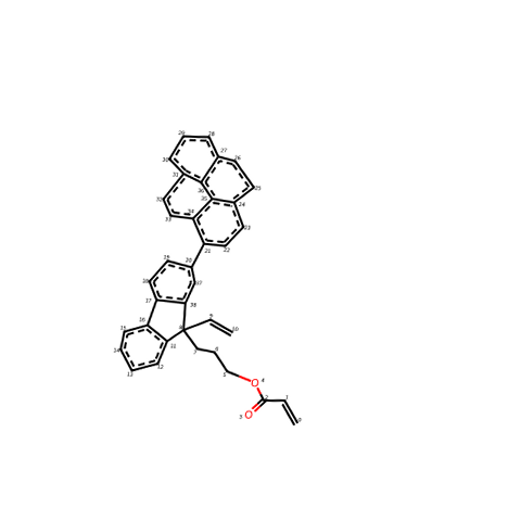 C=CC(=O)OCCCC1(C=C)c2ccccc2-c2ccc(-c3ccc4ccc5cccc6ccc3c4c56)cc21